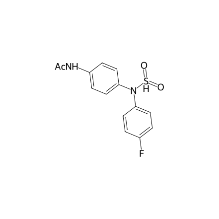 CC(=O)Nc1ccc(N(c2ccc(F)cc2)[SH](=O)=O)cc1